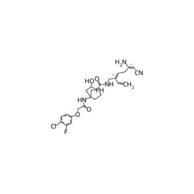 C=C/C(=C\C/C(N)=C\C#N)CNC(=O)[PH]12CCC(NC(=O)COc3ccc(Cl)c(F)c3)(CC1O)C2